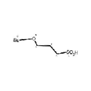 CCC(C)OCCCS(=O)(=O)O